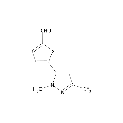 Cn1nc(C(F)(F)F)cc1-c1ccc(C=O)s1